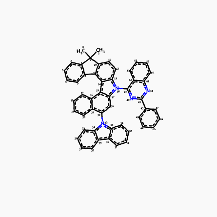 CC1(C)c2ccccc2-c2c1ccc1c2c2c3ccccc3c(-n3c4ccccc4c4ccccc43)cc2n1-c1nc(-c2ccccc2)nc2ccccc12